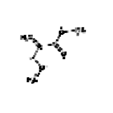 C=C(COC)C(=O)OP